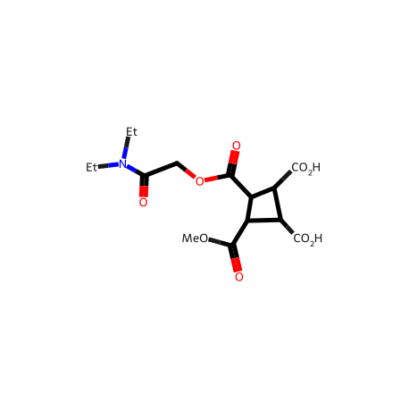 CCN(CC)C(=O)COC(=O)C1C(C(=O)O)C(C(=O)O)C1C(=O)OC